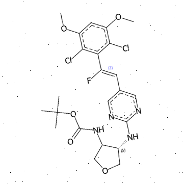 COc1cc(OC)c(Cl)c(/C(F)=C/c2cnc(N[C@@H]3COCC3NC(=O)OC(C)(C)C)nc2)c1Cl